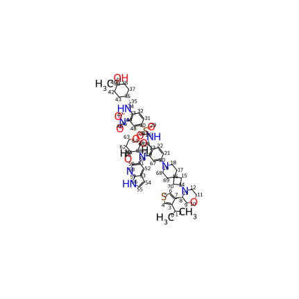 CC(C)c1cscc1[C@@H]1COCCN1C1CC2(CCN(c3ccc(C(=O)NS(=O)(=O)c4ccc(NC[C@H]5CC[C@](C)(O)CC5)c([N+](=O)[O-])c4)c(N4c5cc6cc[nH]c6nc5O[C@@H]5CCOC[C@H]54)c3)CC2)C1